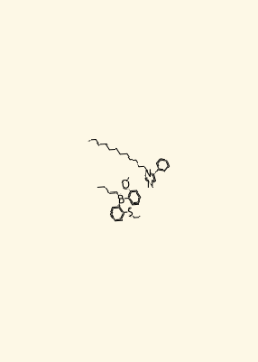 CCCCB(c1ccccc1OC)c1ccccc1SCC.CCCCCCCCCCCCn1cncc1-c1ccccc1